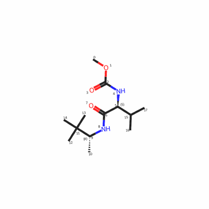 COC(=O)N[C@H](C(=O)N[C@H](C)C(C)(C)C)C(C)C